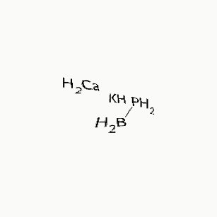 BP.[CaH2].[KH]